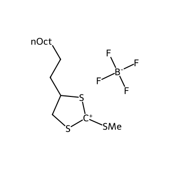 CCCCCCCCCCC1CS[C+](SC)S1.F[B-](F)(F)F